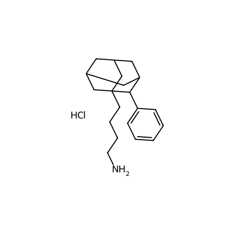 Cl.NCCCCC12CC3CC(CC(C3)C1c1ccccc1)C2